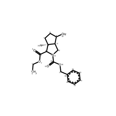 CCOC(=O)C1[C@H]2CCC(O)C2CN1C(=O)OCc1ccccc1